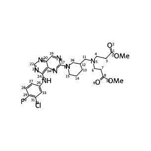 COC(=O)CCN(CCC(=O)OC)CC1CCCN(c2ncc3ncnc(Nc4ccc(F)c(Cl)c4)c3n2)C1